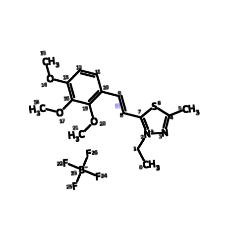 CC[n+]1nc(C)sc1/C=C/c1ccc(OC)c(OC)c1OC.F[B-](F)(F)F